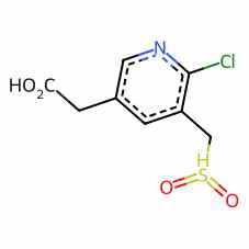 O=C(O)Cc1cnc(Cl)c(C[SH](=O)=O)c1